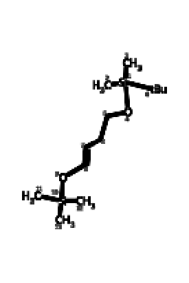 CC(C)(C)[Si](C)(C)OCCC=CO[Si](C)(C)C